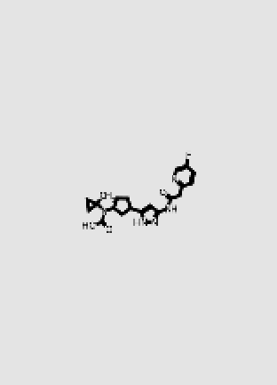 CC1(N(C(=O)O)C2CCC(c3cc(NC(=O)Cc4ccc(F)cn4)n[nH]3)C2)CC1